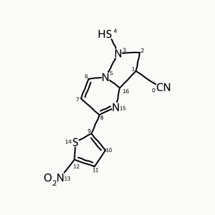 N#CC1CN(S)N2C=CC(c3ccc([N+](=O)[O-])s3)=NC12